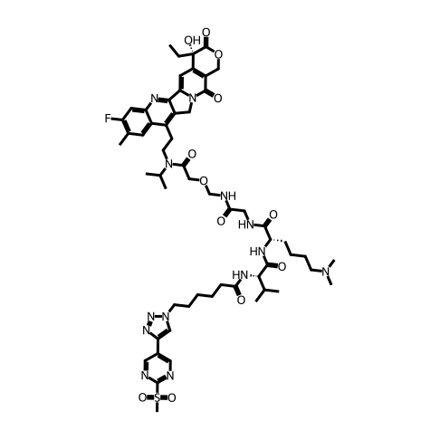 CC[C@@]1(O)C(=O)OCc2c1cc1n(c2=O)Cc2c-1nc1cc(F)c(C)cc1c2CCN(C(=O)COCNC(=O)CNC(=O)[C@H](CCCCN(C)C)NC(=O)[C@@H](NC(=O)CCCCCn1cc(-c2cnc(S(C)(=O)=O)nc2)nn1)C(C)C)C(C)C